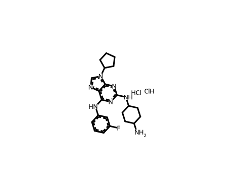 Cl.Cl.NC1CCC(Nc2nc(Nc3cccc(F)c3)c3ncn(C4CCCC4)c3n2)CC1